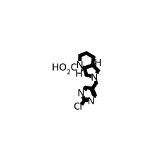 O=C(O)N1CCC[C@H]2CN(Cc3cnc(Cl)nc3)C[C@H]21